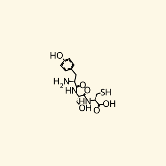 N[C@@H](Cc1ccc(O)cc1)C(=O)N[C@@H](CO)C(=O)N[C@@H](CS)C(=O)O